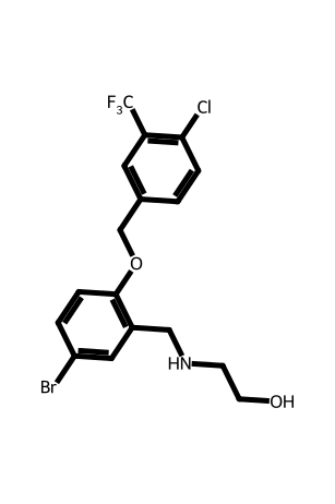 OCCNCc1cc(Br)ccc1OCc1ccc(Cl)c(C(F)(F)F)c1